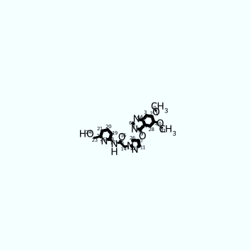 COc1cc2ncnc(Oc3cnn(CC(=O)Nc4cccc(CO)n4)c3)c2cc1OC